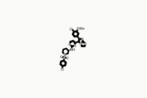 COc1cc(-c2nc3sccn3c2-c2ccnc(N[C@@H]3CCCN(S(=O)(=O)c4ccc(Cl)cc4)C3)n2)ccc1Cl